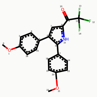 COc1ccc(-c2cc(C(=O)C(F)(F)F)[nH]c2-c2ccc(OC)cc2)cc1